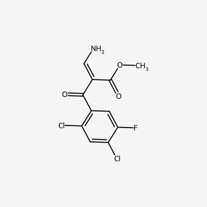 COC(=O)C(=CN)C(=O)c1cc(F)c(Cl)cc1Cl